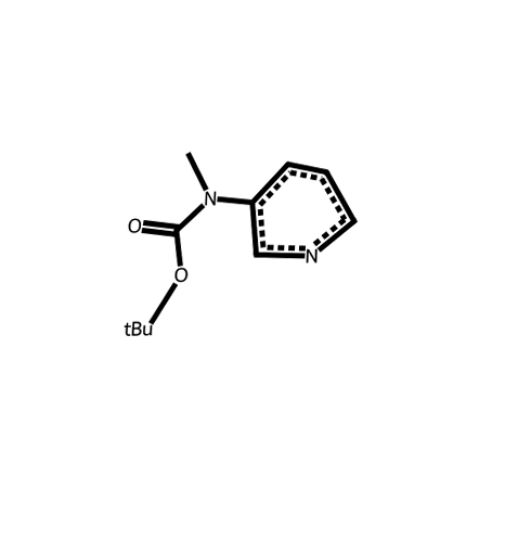 CN(C(=O)OC(C)(C)C)c1cccnc1